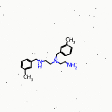 Cc1cccc(CNCCN(CCN)Cc2cccc(C)c2)c1